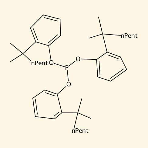 CCCCCC(C)(C)c1ccccc1OP(Oc1ccccc1C(C)(C)CCCCC)Oc1ccccc1C(C)(C)CCCCC